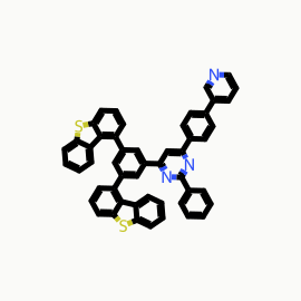 c1ccc(-c2nc(-c3ccc(-c4cccnc4)cc3)cc(-c3cc(-c4cccc5sc6ccccc6c45)cc(-c4cccc5sc6ccccc6c45)c3)n2)cc1